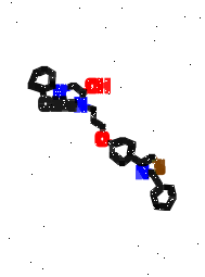 COc1ccccc1N1CCN(CCCOc2ccc(-c3csc(-c4ccccc4)n3)cc2)C(O)C1